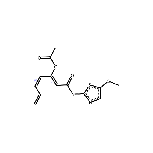 C=C/C=C\C(=C\C(=O)Nc1ncc(SC)s1)OC(C)=O